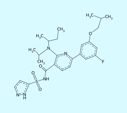 CCC(C)N(c1nc(-c2cc(F)cc(OCC(C)C)c2)ccc1C(=O)NS(=O)(=O)c1ccn[nH]1)C(C)C